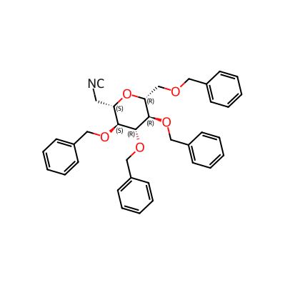 [C-]#[N+]C[C@@H]1O[C@H](COCc2ccccc2)[C@@H](OCc2ccccc2)[C@H](OCc2ccccc2)[C@H]1OCc1ccccc1